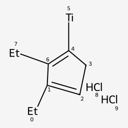 CCC1=CC[C]([Ti])=C1CC.Cl.Cl